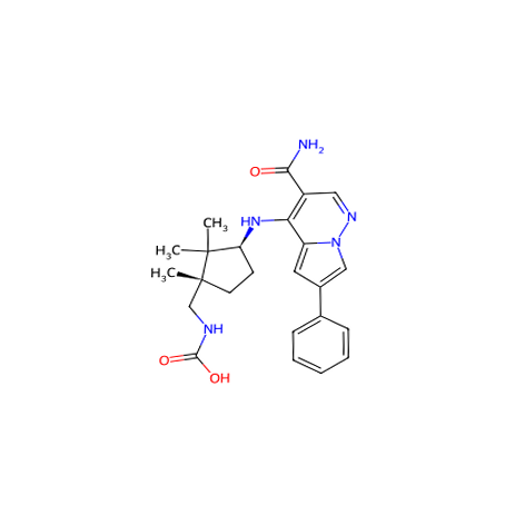 CC1(C)[C@@H](Nc2c(C(N)=O)cnn3cc(-c4ccccc4)cc23)CC[C@]1(C)CNC(=O)O